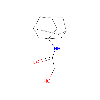 O=C(CO)NC12CC3CC(CC(C3)C1)C2